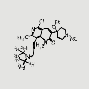 [2H]C([2H])([2H])N(CC#Cc1c(C)nc(Cl)c2cc(C3(OCC)CCN(C(C)=O)CC3)c(=O)n(C)c12)C([2H])([2H])[2H]